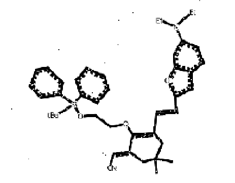 CCN(CC)c1ccc2cc(C=CC3=C(OCCO[Si](c4ccccc4)(c4ccccc4)C(C)(C)C)C(=CC#N)CC(C)(C)C3)oc2c1